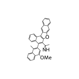 COc1cc(-c2c(C(C)=N)c3oc4cc5ccccc5cc4c3c3ccccc23)c(C)c2ccccc12